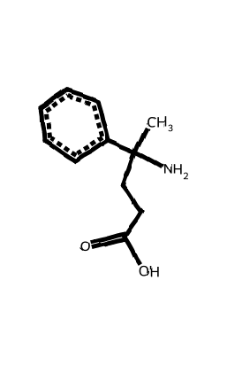 CC(N)(CCC(=O)O)c1ccccc1